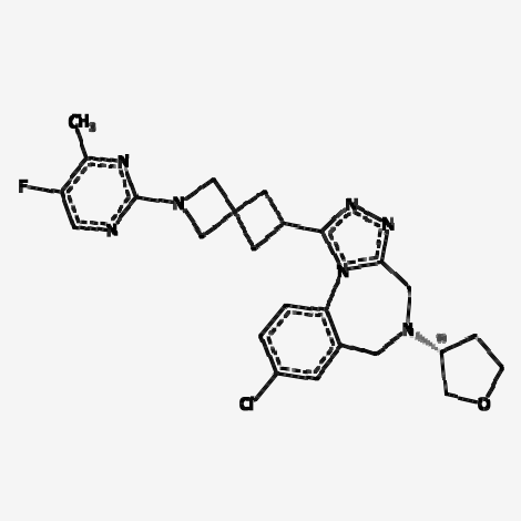 Cc1nc(N2CC3(CC(c4nnc5n4-c4ccc(Cl)cc4CN([C@@H]4CCOC4)C5)C3)C2)ncc1F